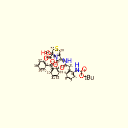 CC(C)(C)OC(=O)Nc1ccccc1CC(=O)NC1C(=O)N2C1CSCC2(O)C(=O)OC(c1ccccc1)c1ccccc1